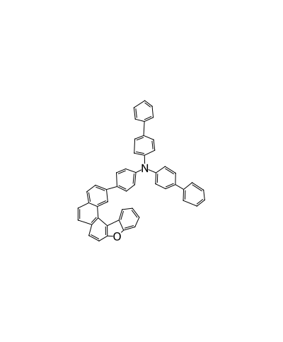 c1ccc(-c2ccc(N(c3ccc(-c4ccccc4)cc3)c3ccc(-c4ccc5ccc6ccc7oc8ccccc8c7c6c5c4)cc3)cc2)cc1